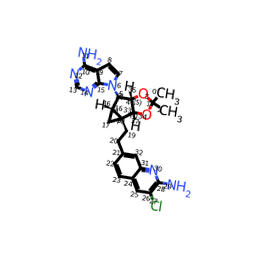 CC1(C)O[C@H]2[C@H](n3ccc4c(N)ncnc43)[C@H]3C[C@@]3(CCc3ccc4cc(Cl)c(N)nc4c3)[C@H]2O1